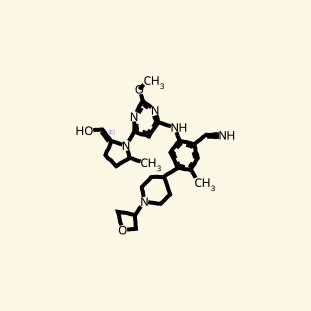 COc1nc(Nc2cc(C3CCN(C4COC4)CC3)c(C)cc2C=N)cc(N2/C(=C/O)CCC2C)n1